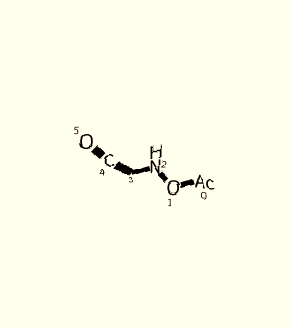 CC(=O)ONC=C=O